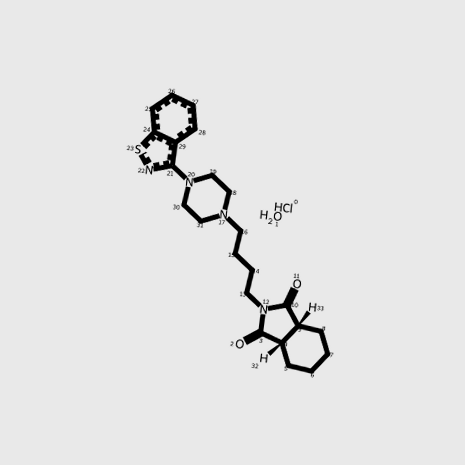 Cl.O.O=C1[C@H]2CCCC[C@H]2C(=O)N1CCCCN1CCN(c2nsc3ccccc23)CC1